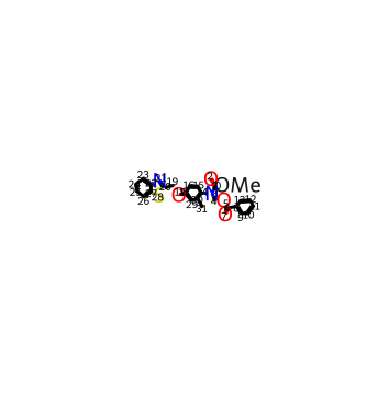 COC(=O)N(COC(=O)c1ccccc1)c1ccc(OCc2nc3ccccc3s2)cc1C